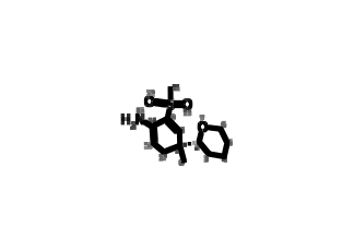 CC1([C@H]2CCCCO2)C=C(S(C)(=O)=O)C(N)=CC1